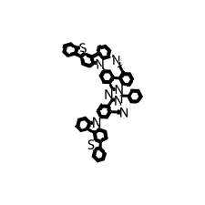 N#Cc1cc(-n2c3ccccc3c3c4sc5ccccc5c4ccc32)ccc1-c1nc(-c2ccccc2)nc(-c2ccc(-n3c4ccccc4c4c5sc6ccccc6c5ccc43)cc2-c2ccccc2C#N)n1